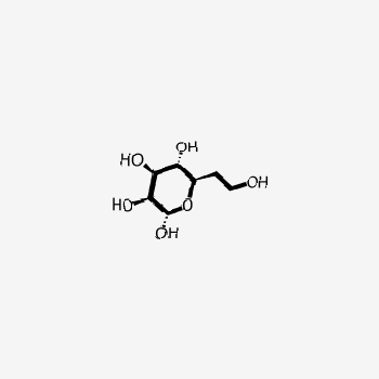 OCC[C@H]1O[C@H](O)[C@@H](O)[C@@H](O)[C@@H]1O